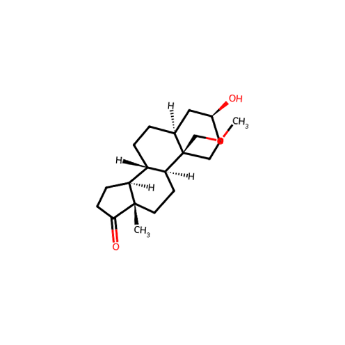 COC[C@]12CC[C@H](O)C[C@@H]1CC[C@@H]1[C@@H]2CC[C@]2(C)C(=O)CC[C@@H]12